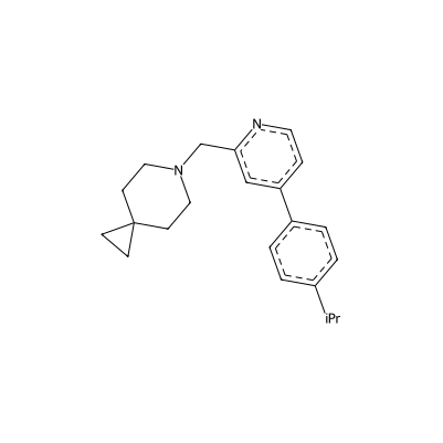 CC(C)c1ccc(-c2ccnc(CN3CCC4(CC3)CC4)c2)cc1